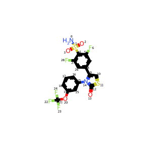 NS(=O)(=O)c1c(F)cc(-c2csc(=O)n2-c2cccc(OC(F)(F)F)c2)cc1F